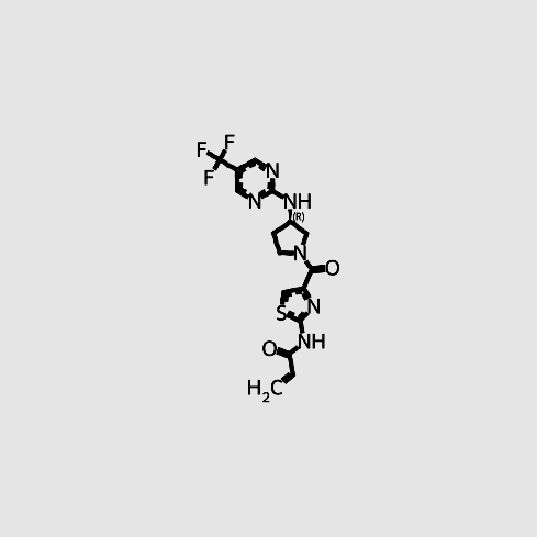 C=CC(=O)Nc1nc(C(=O)N2CC[C@@H](Nc3ncc(C(F)(F)F)cn3)C2)cs1